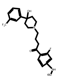 CC(C)(C)Nc1ccc(C(=O)CCCN2CCC(O)(c3cccc(C(F)(F)F)c3)CC2)c(F)c1